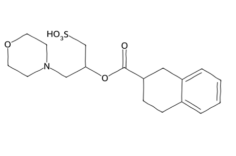 O=C(OC(CN1CCOCC1)CS(=O)(=O)O)C1CCc2ccccc2C1